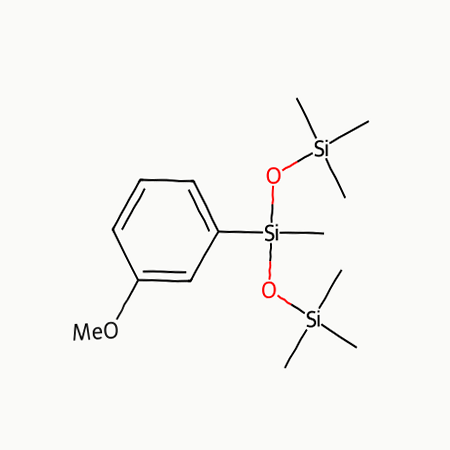 COc1cccc([Si](C)(O[Si](C)(C)C)O[Si](C)(C)C)c1